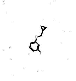 Fc1cccc(OCC2CC2)c1